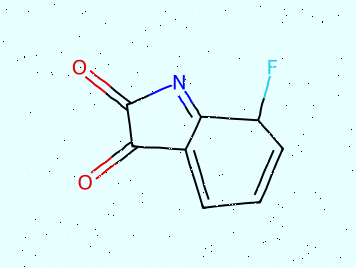 O=C1N=C2C(=CC=CC2F)C1=O